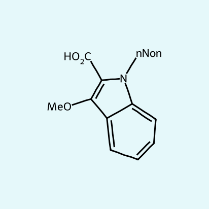 CCCCCCCCCn1c(C(=O)O)c(OC)c2ccccc21